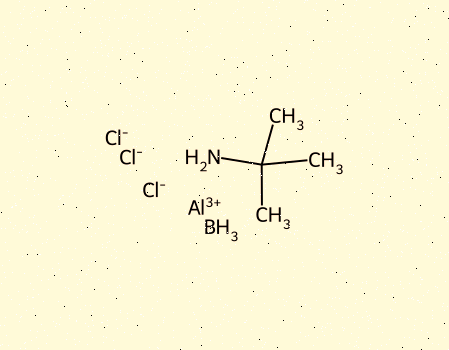 B.CC(C)(C)N.[Al+3].[Cl-].[Cl-].[Cl-]